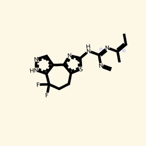 C=N/C(=N\C(C)=C/C)Nc1nc2c(s1)CCC(F)(F)c1[nH]ncc1-2